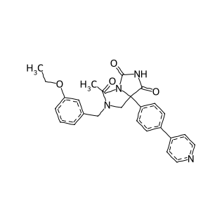 CCOc1cccc(CN(C=O)CC2(c3ccc(-c4ccncc4)cc3)C(=O)NC(=O)N2CC)c1